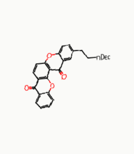 CCCCCCCCCCCCc1ccc2oc3ccc4c(=O)c5ccccc5oc4c3c(=O)c2c1